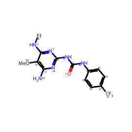 CCNc1nc(NC(=O)Nc2ccc(C(F)(F)F)cc2)nc(N)c1OC